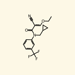 CCOC=C(C#N)C(=O)N(CC1CC1)c1cccc(C(F)(F)F)c1